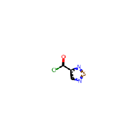 O=C(Cl)c1cnsn1